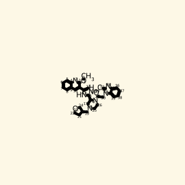 COc1nc2ccccc2cc1-c1cnc(C2CN(CC3CCOC3)CCN2C(=O)Cn2c(C)nc3ccccc32)[nH]1